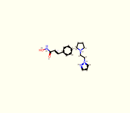 O=C(/C=C/c1ccc([C@@H]2CCCN2CCn2cccn2)cc1)NO